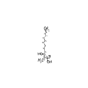 C=CCCCCCCCCC(O)C(C)C(=O)O